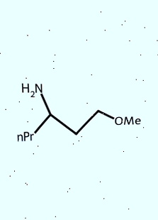 CCCC(N)CCOC